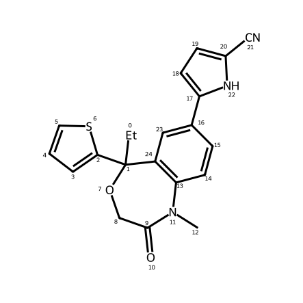 CCC1(c2cccs2)OCC(=O)N(C)c2ccc(-c3ccc(C#N)[nH]3)cc21